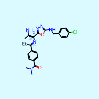 CC/C(=N\C(=C(/C)N)c1nnc(NCc2ccc(Cl)cc2)o1)c1ccc(C(=O)N(C)C)cc1